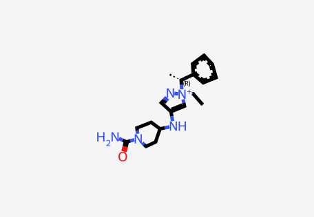 CC[N+]1([C@H](C)c2ccccc2)C=C(NC2CCN(C(N)=O)CC2)C=N1